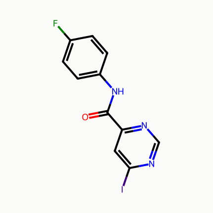 O=C(Nc1ccc(F)cc1)c1cc(I)ncn1